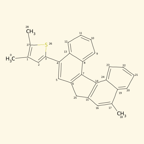 Cc1cc(-c2cc3c(c4ccccc24)-c2c(cc(C)c4ccccc24)C3)sc1C